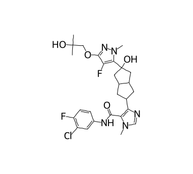 Cn1cnc(C2CC3CC(O)(c4c(F)c(OCC(C)(C)O)nn4C)CC3C2)c1C(=O)Nc1ccc(F)c(Cl)c1